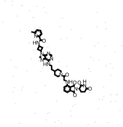 Cc1cccc(C(=O)NC2CC(n3cnc4c(NCCC5CCN(C(=O)CNc6cccc7c6C(=O)N([C@H]6CCC(=O)NC6=O)C7=O)CC5)ncnc43)C2)n1